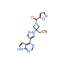 N#CCC1(n2cc(-c3ncnc4[nH]ccc34)cn2)CN(C(=O)c2ccno2)C1